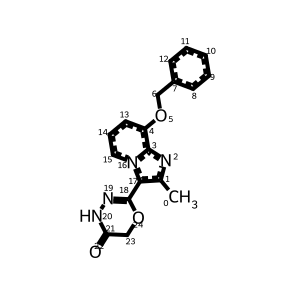 Cc1nc2c(OCc3ccccc3)cccn2c1C1=NNC(=O)CO1